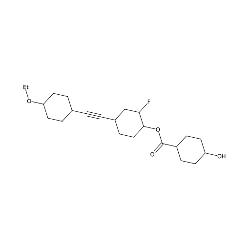 CCOC1CCC(C#CC2CCC(OC(=O)C3CCC(O)CC3)C(F)C2)CC1